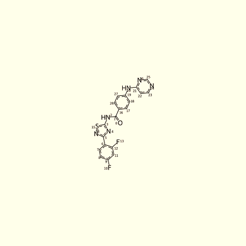 O=C(Nc1nc(-c2ccc(F)cc2F)ns1)c1ccc(Nc2ccncn2)cc1